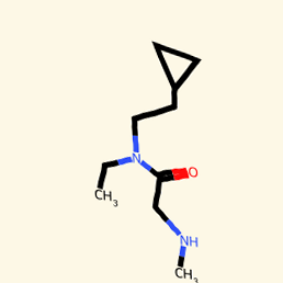 CCN(CCC1CC1)C(=O)CNC